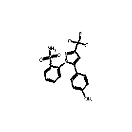 NS(=O)(=O)c1ccccc1-n1nc(C(F)(F)F)cc1-c1ccc(O)cc1